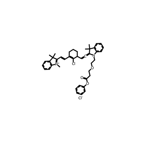 C[N+]1=C(/C=C/C2=C(Cl)C(C=C=C3N(CCOCCC(=O)Oc4ccccc4)c4ccccc4C3(C)C)CCC2)C(C)(C)c2ccccc21.[Cl-]